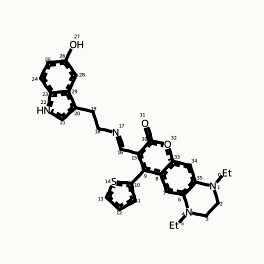 CCN1CCN(CC)c2cc3c(-c4cccs4)c(/C=N/CCc4c[nH]c5ccc(O)cc45)c(=O)oc3cc21